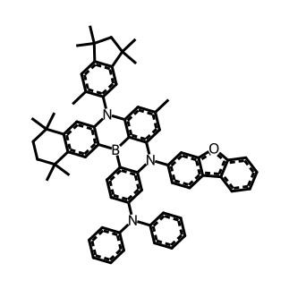 Cc1cc2c3c(c1)N(c1cc4c(cc1C)C(C)(C)CC4(C)C)c1cc4c(cc1B3c1ccc(N(c3ccccc3)c3ccccc3)cc1N2c1ccc2c(c1)oc1ccccc12)C(C)(C)CCC4(C)C